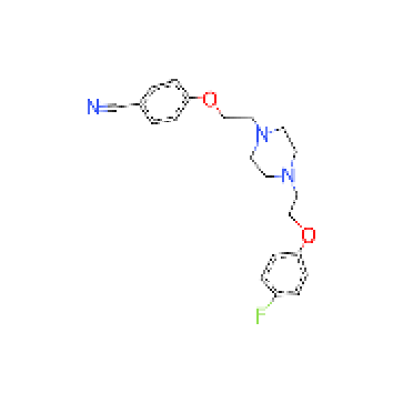 N#Cc1ccc(OCCN2CCN(CCOc3ccc(F)cc3)CC2)cc1